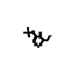 [CH2]CC(N)NC(=O)OC(C)(C)C